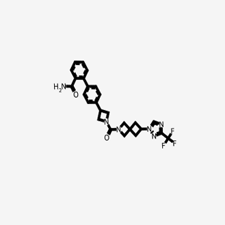 NC(=O)c1ccccc1-c1ccc(C2CN(C(=O)N3CC4(CC(n5cnc(C(F)(F)F)n5)C4)C3)C2)cc1